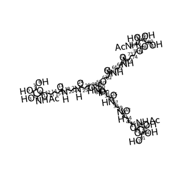 CC(=O)NC1C(O)[C@@H](O)C(CO)O[C@H]1OCCCCC(=O)NCCCNC(=O)CCOCC(COCCC(=O)NCCCNC(=O)CCCCO[C@@H]1OC(CO)[C@H](O)C(O)C1NC(C)=O)(COCCC(=O)NCCCNC(=O)CCCCO[C@@H]1OC(CO)[C@H](O)C(O)[C@@H]1NC(C)=O)NC(C)C